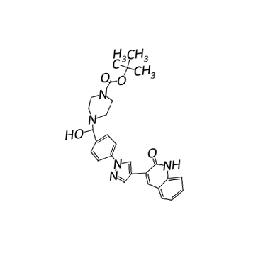 CC(C)(C)OC(=O)N1CCN(C(O)c2ccc(-n3cc(-c4cc5ccccc5[nH]c4=O)cn3)cc2)CC1